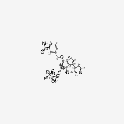 Cn1nc(OCc2cccc(C(N)=O)c2)c2scc(-c3ccncc3)c2c1=O.O=C(O)C(F)(F)F